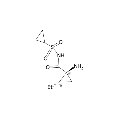 CC[C@H]1C[C@@]1(N)C(=O)NS(=O)(=O)C1CC1